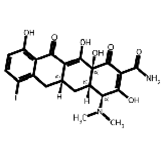 CN(C)[C@@H]1C(O)=C(C(N)=O)C(=O)[C@@]2(O)C(O)=C3C(=O)c4c(O)ccc(I)c4C[C@H]3C[C@@H]12